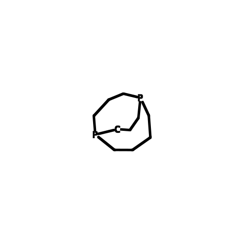 C1CCP2CCCP(C1)CCC2